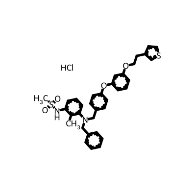 Cc1c(NS(C)(=O)=O)cccc1N(Cc1ccccc1)Cc1ccc(Oc2cccc(OCCc3ccsc3)c2)cc1.Cl